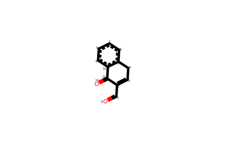 O=CC1=CCc2ccccc2C1=O